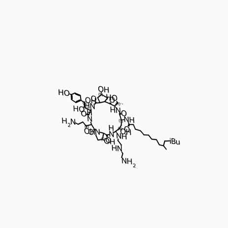 CCC(C)CC(C)CCCCCCCCC(=O)N[C@H]1C[C@@H](O)C(NCCNCCN)NC(=O)C2[C@@H](O)CCN2C(=O)C([C@H](O)CCN)NC(=O)C([C@H](O)[C@@H](O)c2ccc(O)cc2)NC(=O)C2C[C@@H](O)CC2C(=O)C([C@@H](C)O)NC1=O